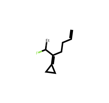 C=CCCC(=C1CC1)C(F)CC